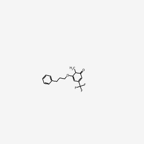 CC1C(=O)C=C(C(F)(F)F)C=C1OCCCc1ccccc1